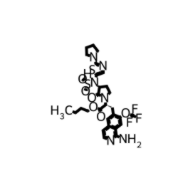 CCCCOC(=O)[C@@H](Cc1cc2ccnc(N)c2cc1OC(F)(F)F)N1CC[C@H](N(c2cnc(N3CCCC3)s2)[SH](=O)=O)C1=O